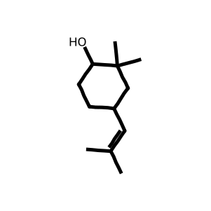 CC(C)=CC1CCC(O)C(C)(C)C1